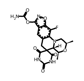 C[C@@H]1CN2c3c(cc4c(OC(N)=O)noc4c3F)CC3(C(=O)NC(=O)NC3=O)[C@H]2[C@H](C)O1